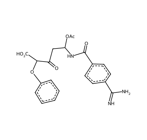 CC(=O)OC(CC(=O)C(Oc1ccccc1)C(=O)O)NC(=O)c1ccc(C(=N)N)cc1